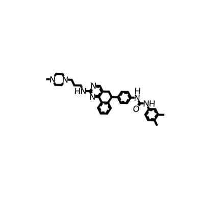 Cc1ccc(NC(=O)Nc2ccc(C3Cc4cnc(NCCCN5CCN(C)CC5)nc4-c4ccccc43)cc2)cc1C